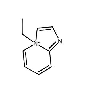 CC[N+]12C=CC=[C]C1=NC=C2